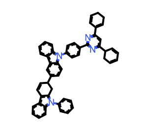 C1=CCC(c2cc(C3=CCCC=C3)nc(-c3ccc(-n4c5ccccc5c5cc(C6C=Cc7c(n(-c8ccccc8)c8ccccc78)C6)ccc54)cc3)n2)C=C1